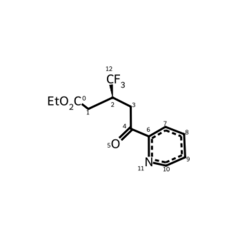 CCOC(=O)C[C@H](CC(=O)c1ccccn1)C(F)(F)F